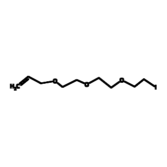 C=CCOCCOCCOCCI